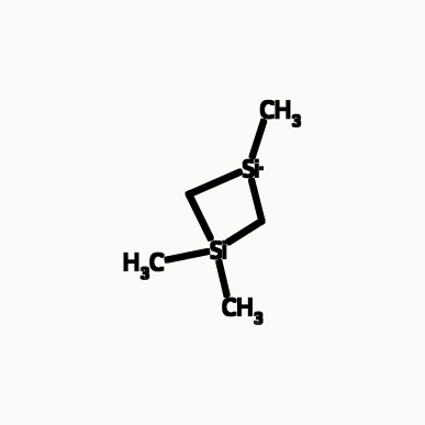 C[Si]1C[Si](C)(C)C1